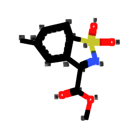 COC(=O)C1=NS(=O)(=O)c2ccc(C)cc21